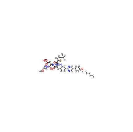 CCCCCCCOc1ccc(-c2cnc(-c3ccc(C[C@H](NC(=O)c4ccc(C(C)(C)C)s4)C(=O)N[C@@H](CC(=O)O)C(=O)NCCOC)cc3)nc2)cc1